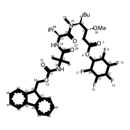 CC[C@H](C)[C@@H]([C@@H](CC(=O)OC1C(F)C(F)C(F)C(F)C1F)OC)N(C)C(=O)[C@@H](NC(=O)C(C)(C)NC(=O)OCC1c2ccccc2-c2ccccc21)C(C)C